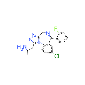 CC(N)Cc1nnc2n1-c1ccc(Cl)cc1C(c1ccccc1F)=NC2